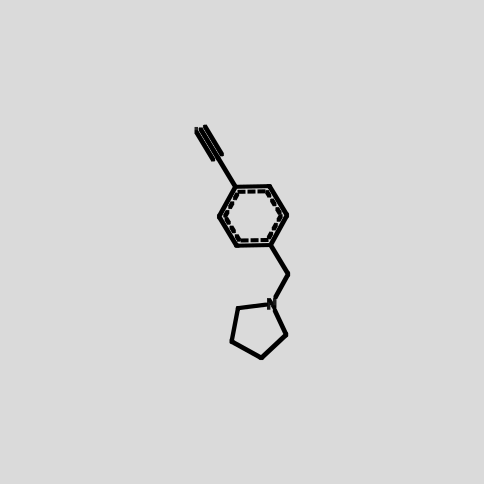 [C]#Cc1ccc(CN2CCCC2)cc1